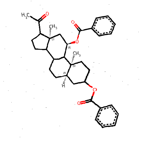 CC(=O)C1CCC2C3CC[C@@H]4CC(OC(=O)c5ccccc5)CC[C@]4(C)C3[C@H](OC(=O)c3ccccc3)C[C@]12C